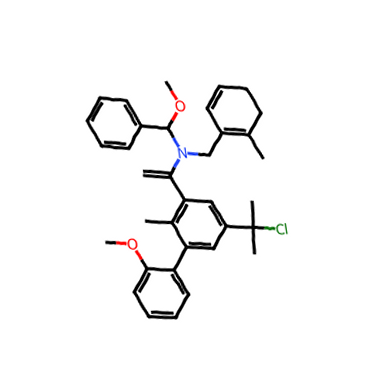 C=C(c1cc(C(C)(C)Cl)cc(-c2ccccc2OC)c1C)N(CC1=C(C)CCC=C1)C(OC)c1ccccc1